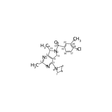 Cc1nc2c(c(N3CCC3)n1)CN(C(=O)c1ccc(Cl)c(C)c1)C2C